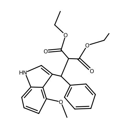 CCOC(=O)C(C(=O)OCC)C(c1ccccc1)c1c[nH]c2cccc(OC)c12